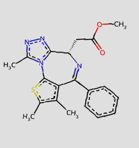 COC(=O)C[C@@H]1N=C(c2ccccc2)c2c(sc(C)c2C)-n2c(C)nnc21